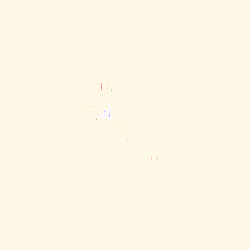 CCOC(=O)CC(=O)S[C@H]1CC(=O)N1C(Cl)(Cc1ccccc1)C(=O)O